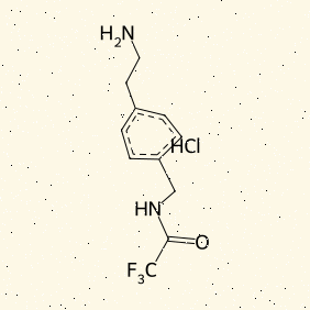 Cl.NCCc1ccc(CNC(=O)C(F)(F)F)cc1